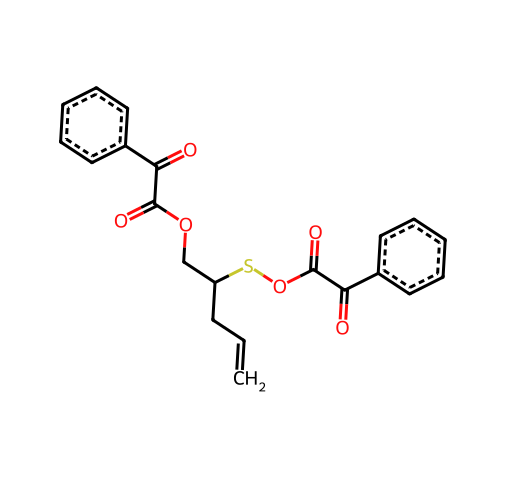 C=CCC(COC(=O)C(=O)c1ccccc1)SOC(=O)C(=O)c1ccccc1